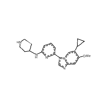 COc1cc2ncc(-c3cccc(NC4CCNCC4)n3)n2cc1C1CC1